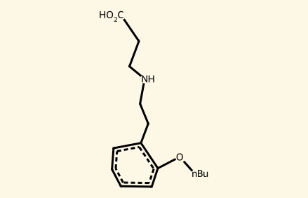 CCCCOc1ccccc1CCNCCC(=O)O